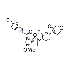 CO[C@@H]1C[C@H](C(=O)Nc2ccc(N3CCOCC3=O)cc2F)N(C(=O)/C=C/c2ccc(Cl)s2)C1